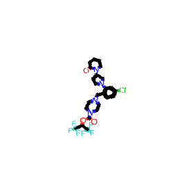 O=C(OC(C(F)(F)F)C(F)(F)F)N1CCN(Cc2ccc(Cl)cc2N2CC[C@@H](N3CCCCC3=O)C2)CC1